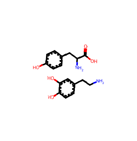 NC(Cc1ccc(O)cc1)C(=O)O.NCCc1ccc(O)c(O)c1